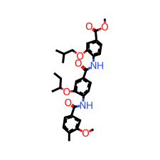 CCC(C)Oc1cc(C(=O)Nc2ccc(C(=O)OC)cc2OCC(C)C)ccc1NC(=O)c1ccc(C)c(OC)c1